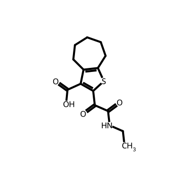 CCNC(=O)C(=O)c1sc2c(c1C(=O)O)CCCCC2